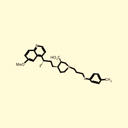 COc1ccc2nccc([C@@H](F)CC[C@@H]3CCN(CCCSc4ccc(C)cc4)C[C@@H]3C(=O)O)c2c1